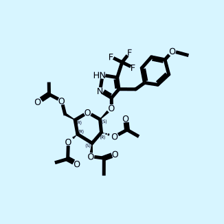 COc1ccc(Cc2c(O[C@@H]3O[C@H](COC(C)=O)[C@@H](OC(C)=O)[C@H](OC(C)=O)[C@H]3OC(C)=O)n[nH]c2C(F)(F)F)cc1